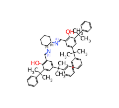 CC(C)(c1ccccc1)c1cc(/C=N/[C@@H]2CCCC[C@H]2/N=C/c2cc(C(C)(C)c3ccccc3)cc(C(C)(C)c3ccccc3)c2O)c(O)c(C(C)(C)c2ccccc2)c1